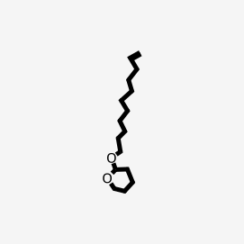 C=CCCCCCCCCCOC1CCCCO1